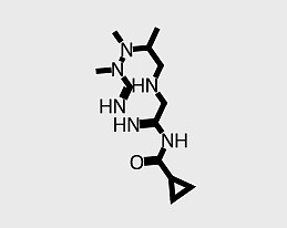 CC(CNCC(=N)NC(=O)C1CC1)N(C)N(C)C=N